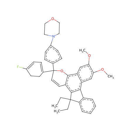 CCC1(CC)c2ccccc2-c2c1c1c(c3cc(OC)c(OC)cc23)OC(C2=CC=C(F)CC2)(c2ccc(N3CCOCC3)cc2)C=C1